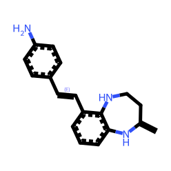 C=C1CCNc2c(/C=C/c3ccc(N)cc3)cccc2N1